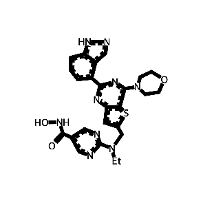 CCN(Cc1cc2nc(-c3cccc4[nH]ncc34)nc(N3CCOCC3)c2s1)c1ncc(C(=O)NO)cn1